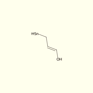 OC=C[CH2][SnH]